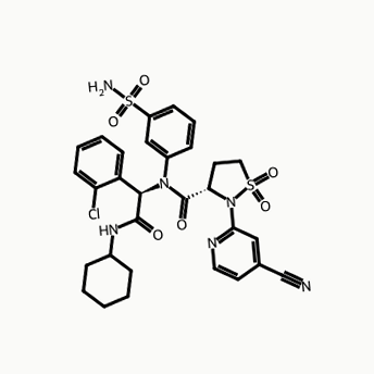 N#Cc1ccnc(N2[C@H](C(=O)N(c3cccc(S(N)(=O)=O)c3)[C@@H](C(=O)NC3CCCCC3)c3ccccc3Cl)CCS2(=O)=O)c1